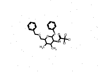 CC1C(COCc2ccccc2)OC(Sc2ccccc2)C(NC(=O)C(Cl)(Cl)Cl)C1C